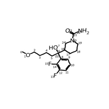 COCCCC[C@@](O)(c1cccc(F)c1F)C1CCCN(C(N)=O)C1